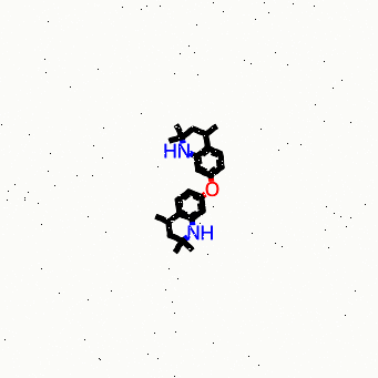 CC1CC(C)(C)Nc2cc(Oc3ccc4c(c3)NC(C)(C)CC4C)ccc21